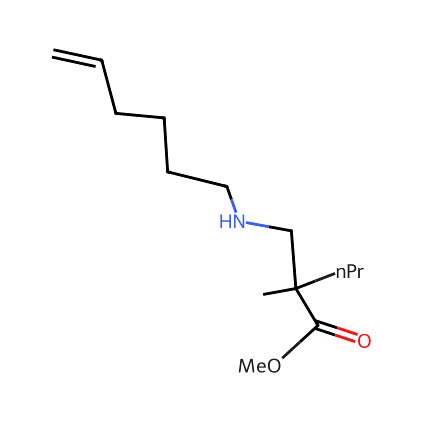 C=CCCCCNCC(C)(CCC)C(=O)OC